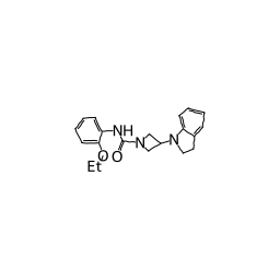 CCOc1ccccc1NC(=O)N1CC(N2CCc3ccccc32)C1